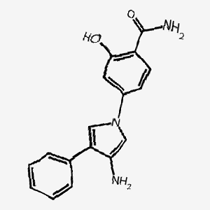 NC(=O)c1ccc(-n2cc(N)c(-c3ccccc3)c2)cc1O